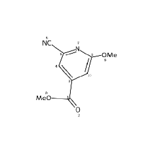 COC(=O)c1cc(C#N)nc(OC)c1